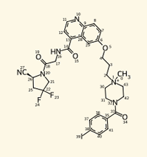 C[N+]1(CCCOc2ccc3nccc(C(=O)NCC(=O)N4CC(F)(F)C[C@H]4C#N)c3c2)CCN(C(=O)c2ccc(I)cc2)CC1